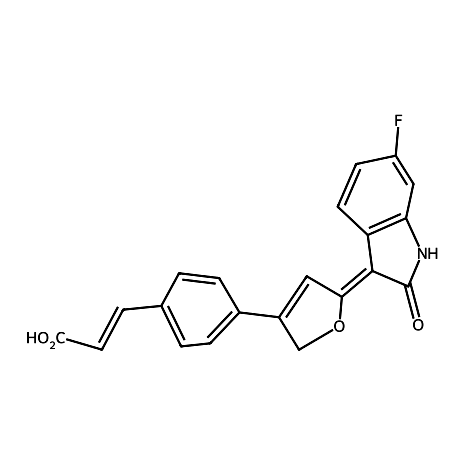 O=C(O)/C=C/c1ccc(C2=CC(=C3C(=O)Nc4cc(F)ccc43)OC2)cc1